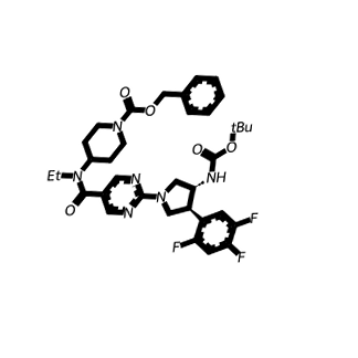 CCN(C(=O)c1cnc(N2C[C@H](NC(=O)OC(C)(C)C)[C@@H](c3cc(F)c(F)cc3F)C2)nc1)C1CCN(C(=O)OCc2ccccc2)CC1